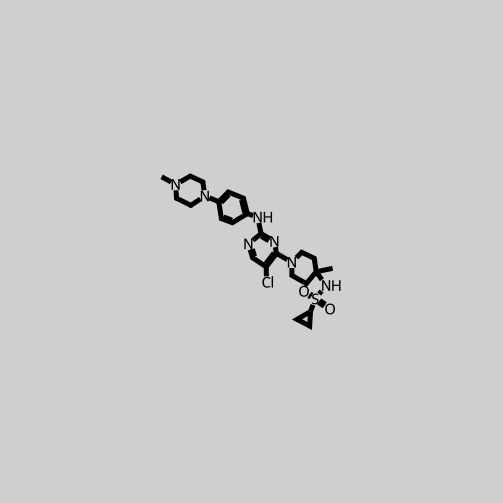 CN1CCN(c2ccc(Nc3ncc(Cl)c(N4CCC(C)(NS(=O)(=O)C5CC5)CC4)n3)cc2)CC1